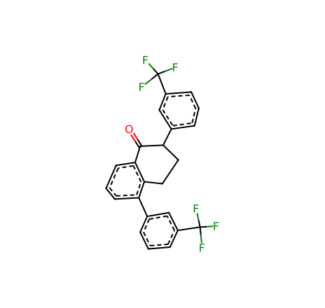 O=C1c2cccc(-c3cccc(C(F)(F)F)c3)c2CCC1c1cccc(C(F)(F)F)c1